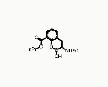 CCCOC(=O)c1cccc2c1OB(O)C(NC(C)=O)C2